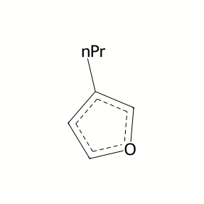 CCCc1ccoc1